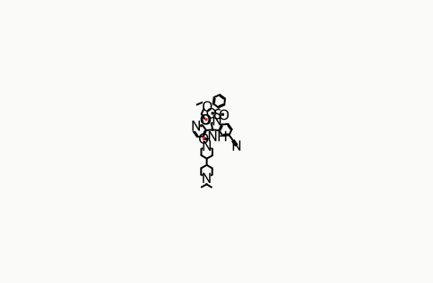 CCOc1ccccc1S(=O)(=O)N1C(=O)C(NC(=O)N2CCC(C3CCN(C(C)C)CC3)CC2)(c2cccnc2OCC)c2cc(C#N)ccc21